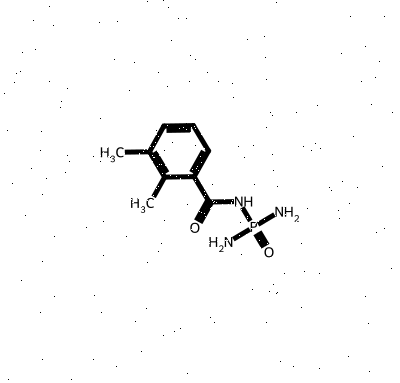 Cc1cccc(C(=O)NP(N)(N)=O)c1C